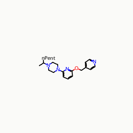 CCCCCC(C)N1CCN(c2cccc(OCc3ccncc3)n2)CC1